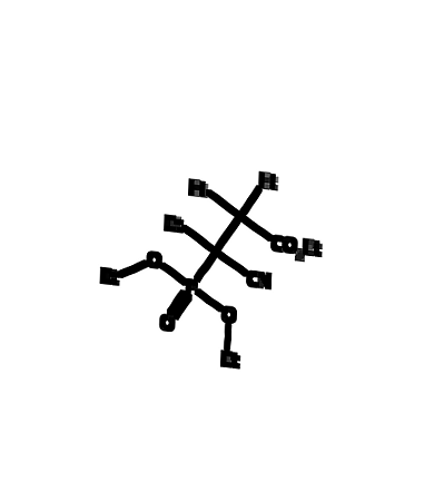 CCOC(=O)C(CC)(CC)C(C#N)(CC)P(=O)(OCC)OCC